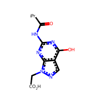 CC(C)C(=O)Nc1nc(O)c2cnn(CC(=O)O)c2n1